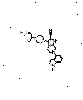 C=CC(=O)N1CCN(c2c(C#N)nc3n2CCN(c2cccc4[nH]ncc24)C3)CC1